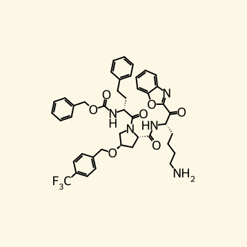 NCCCC[C@H](NC(=O)[C@@H]1C[C@@H](OCc2ccc(C(F)(F)F)cc2)CN1C(=O)[C@@H](CCc1ccccc1)NC(=O)OCc1ccccc1)C(=O)c1nc2ccccc2o1